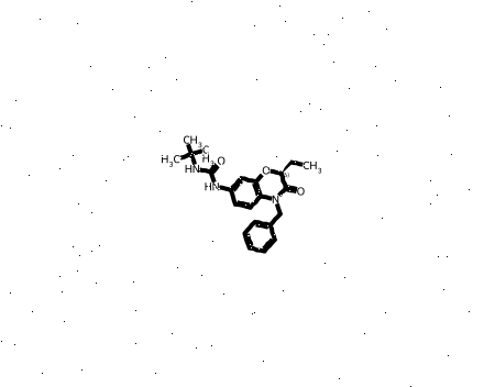 CC[C@@H]1Oc2cc(NC(=O)NC(C)(C)C)ccc2N(Cc2ccccc2)C1=O